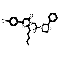 CCCCCc1nc(-c2ccc(Cl)cc2)cc(=O)n1CC(=O)N1CCOC(c2ccccc2)C1